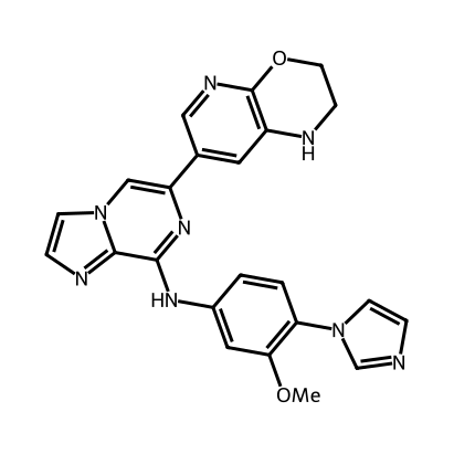 COc1cc(Nc2nc(-c3cnc4c(c3)NCCO4)cn3ccnc23)ccc1-n1ccnc1